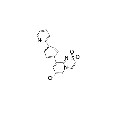 O=S1(=O)C=CN2C=C(Cl)C=C(c3ccc(-c4ccccn4)cc3)C2=N1